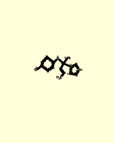 CC=CC(Oc1ccc(Cl)cc1)(C(C)C)n1cncn1